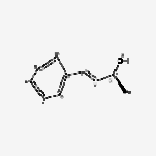 C[C@H](O)C=Cc1ccccc1